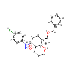 O[C@@]12CCCO[C@@H]1[C@H](COCc1ccccc1)CC[C@@H]2Nc1ccc(F)cc1